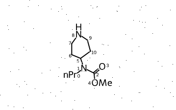 CCCN(C(=O)OC)C1CCNCC1